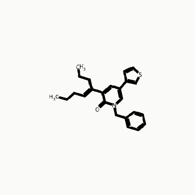 CCCC=C(CCC)c1cc(-c2ccsc2)cn(Cc2ccccc2)c1=O